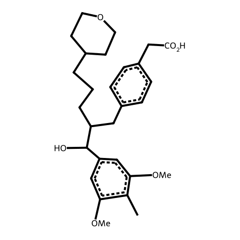 COc1cc(C(O)C(CCCC2CCOCC2)Cc2ccc(CC(=O)O)cc2)cc(OC)c1C